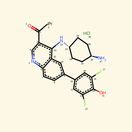 CC(C)C(=O)c1cnc2ccc(-c3cc(F)c(O)c(F)c3)cc2c1N[C@H]1CC[C@H](N)CC1.Cl